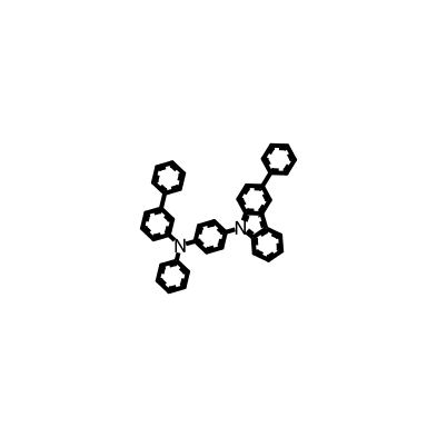 c1ccc(-c2cccc(N(c3ccccc3)c3ccc(-n4c5ccccc5c5cc(-c6ccccc6)ccc54)cc3)c2)cc1